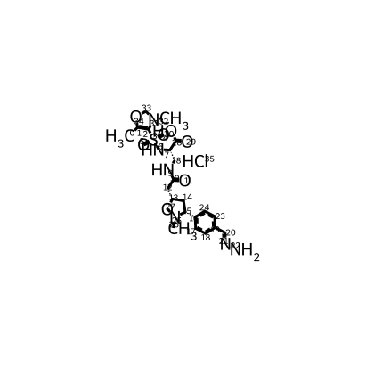 CC1=C(S(=O)(=O)N[C@@H](CNC(=O)C[C@@H]2C[C@H](c3ccc(C=NN)cc3)N(C)O2)C(=O)O)N(C)CO1.Cl